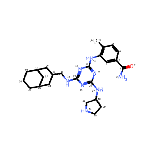 Cc1ccc(C(N)=O)cc1Nc1nc(NCC2CC3CCCC(C3)C2)nc(NC2CCNC2)n1